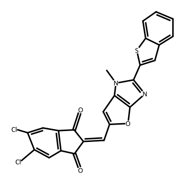 Cn1c(-c2cc3ccccc3s2)nc2oc(C=C3C(=O)c4cc(Cl)c(Cl)cc4C3=O)cc21